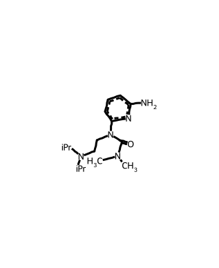 CC(C)N(CCN(C(=O)N(C)C)c1cccc(N)n1)C(C)C